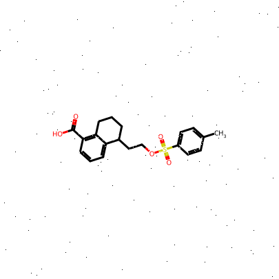 Cc1ccc(S(=O)(=O)OCCC2CCCc3c(C(=O)O)cccc32)cc1